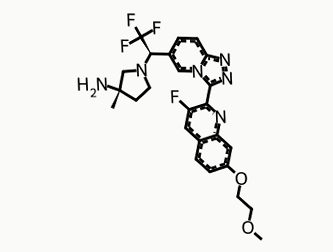 COCCOc1ccc2cc(F)c(-c3nnc4ccc([C@@H](N5CC[C@](C)(N)C5)C(F)(F)F)cn34)nc2c1